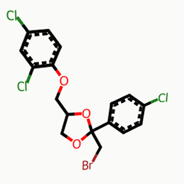 Clc1ccc(C2(CBr)OCC(COc3ccc(Cl)cc3Cl)O2)cc1